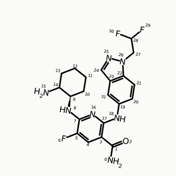 NC(=O)c1cc(F)c(N[C@@H]2CCCCC2N)nc1Nc1ccc2c(cnn2CC(F)F)c1